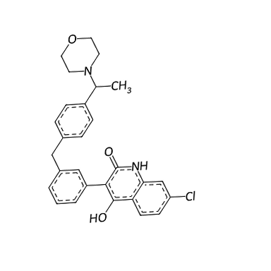 CC(c1ccc(Cc2cccc(-c3c(O)c4ccc(Cl)cc4[nH]c3=O)c2)cc1)N1CCOCC1